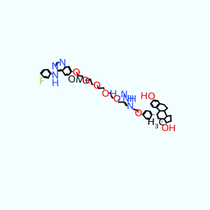 COc1cc2c(Nc3cccc(F)c3)ncnc2cc1OCCOCCOCCOCCOC/C(=C/NCCOc1ccc([C@H]2C[C@@]3(C)C(CC[C@@H]3O)C3CCc4cc(O)ccc4C32)cc1)NN